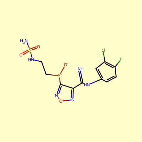 N=C(Nc1ccc(F)c(Cl)c1)c1nonc1[S+]([O-])CCNS(N)(=O)=O